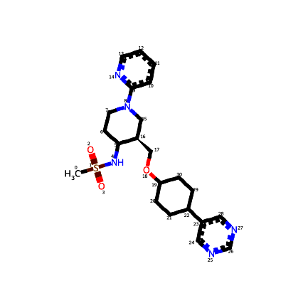 CS(=O)(=O)NC1CCN(c2ccccn2)C[C@H]1COC1CCC(c2cncnc2)CC1